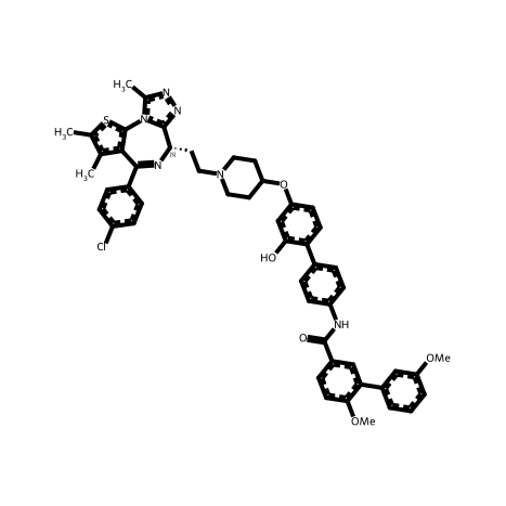 COc1cccc(-c2cc(C(=O)Nc3ccc(-c4ccc(OC5CCN(CC[C@@H]6N=C(c7ccc(Cl)cc7)c7c(sc(C)c7C)-n7c(C)nnc76)CC5)cc4O)cc3)ccc2OC)c1